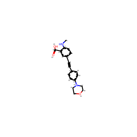 CNc1ccc(C#Cc2ccc(N3CCOCC3)cc2)cc1C(=O)O